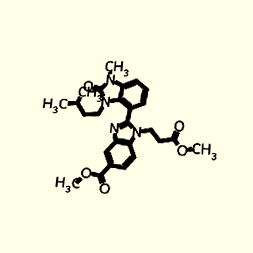 COC(=O)CCn1c(-c2cccc3c2n(CCC(C)C)c(=O)n3C)nc2cc(C(=O)OC)ccc21